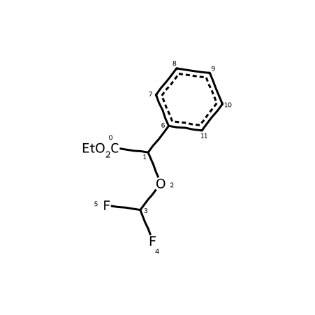 CCOC(=O)C(OC(F)F)c1ccccc1